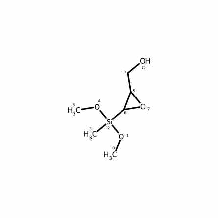 CO[Si](C)(OC)C1OC1CO